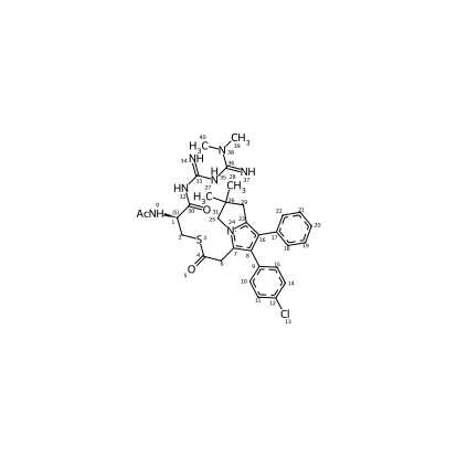 CC(=O)N[C@H](CSC(=O)Cc1c(-c2ccc(Cl)cc2)c(-c2ccccc2)c2n1CC(C)(C)C2)C(=O)NC(=N)NC(=N)N(C)C